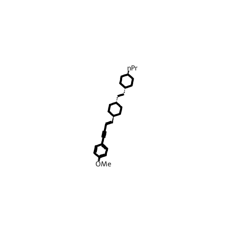 CCC[C@H]1CC[C@H](CC[C@H]2CC[C@H](C=CC#Cc3ccc(OC)cc3)CC2)CC1